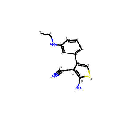 CCNc1cccc(-c2csc(N)c2C#N)c1